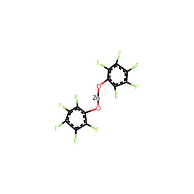 Fc1c(F)c(F)c([O][Zn][O]c2c(F)c(F)c(F)c(F)c2F)c(F)c1F